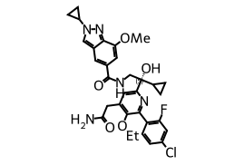 CCOc1c(CC(N)=O)cc([C@@](O)(CNC(=O)c2cc(OC)c3nn(C4CC4)cc3c2)C2CC2)nc1-c1ccc(Cl)cc1F